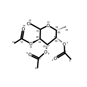 CC(=O)O[C@@H]1[C@H](OC(C)=O)[C@@H](OC(C)=O)C(Cl)O[C@@H]1C